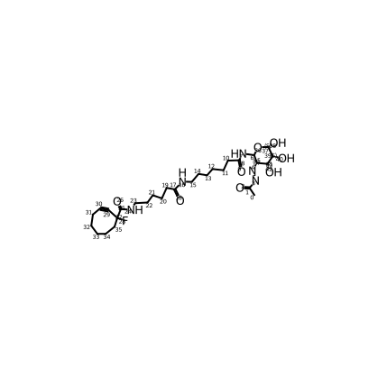 CC(=O)N=N[C@H]1C(NC(=O)CCCCCCNC(=O)CCCCCNC(=O)C2(F)C#CCCCCC2)O[C@H](O)[C@@H](O)[C@@H]1O